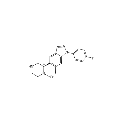 CCCN1CCNC[C@H]1c1cc2cnn(-c3ccc(F)cc3)c2cc1C